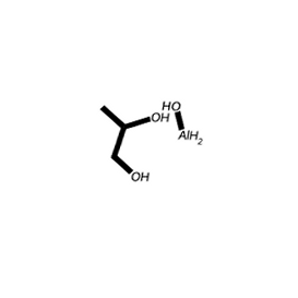 CC(O)CO.[OH][AlH2]